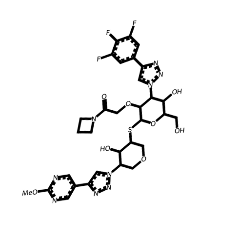 COc1ncc(-c2cn(C3COCC(SC4OC(CO)C(O)C(n5cc(-c6cc(F)c(F)c(F)c6)nn5)C4OCC(=O)N4CCC4)C3O)nn2)cn1